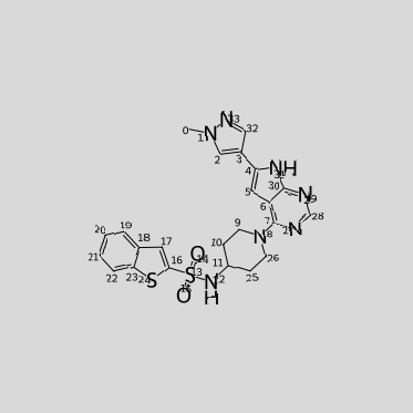 Cn1cc(-c2cc3c(N4CCC(NS(=O)(=O)c5cc6ccccc6s5)CC4)ncnc3[nH]2)cn1